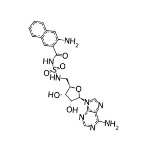 Nc1cc2ccccc2cc1C(=O)NS(=O)(=O)NC[C@H]1O[C@@H](n2cnc3c(N)ncnc32)[C@H](O)[C@@H]1O